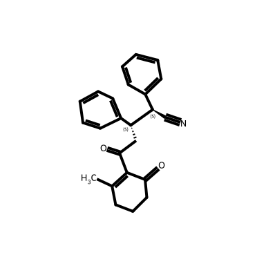 CC1=C(C(=O)C[C@H](c2ccccc2)[C@H](C#N)c2ccccc2)C(=O)CCC1